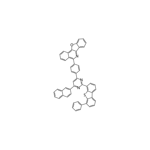 c1ccc(-c2cccc3c2sc2c(-c4nc(-c5ccc(-c6nc7c8ccccc8oc7c7ccccc67)cc5)cc(-c5ccc6ccccc6c5)n4)cccc23)cc1